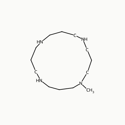 CN1CCCNCCCNCCCNCCC1